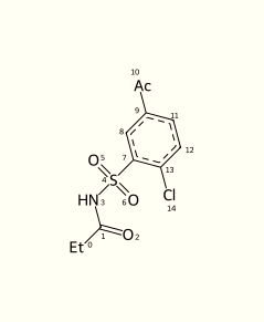 CCC(=O)NS(=O)(=O)c1cc(C(C)=O)ccc1Cl